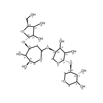 OC[C@@H]1O[C@@H](O[C@H]2CC(O[C@@H]3CO[C@@H](O[C@@H]4COCC(O)[C@H]4O)C(O)C3O)OC[C@@H](O)C2O)C(O)C1O